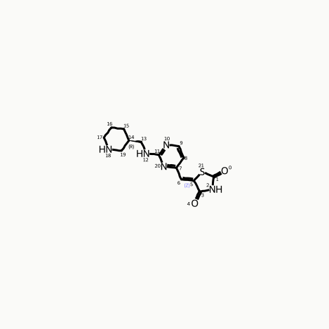 O=C1NC(=O)/C(=C/c2ccnc(NC[C@@H]3CCCNC3)n2)S1